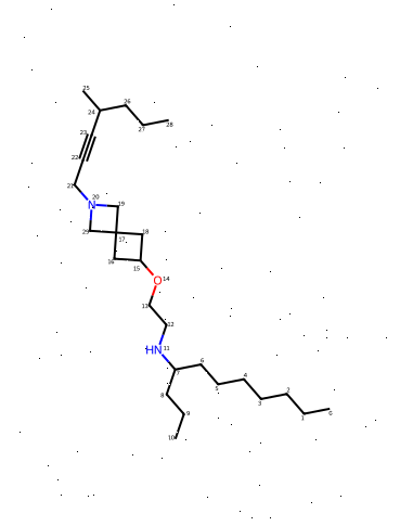 CCCCCCCC(CCC)NCCOC1CC2(C1)CN(CC#CC(C)CCC)C2